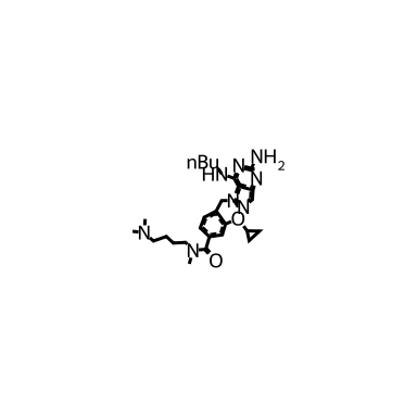 CCCCNc1nc(N)nc2cnn(Cc3ccc(C(=O)N(C)CCCCN(C)C)cc3OC3CC3)c12